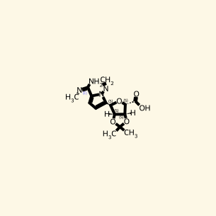 C=Nn1c(/C(N)=N\C)ccc1[C@@H]1O[C@H](C(=O)O)[C@H]2OC(C)(C)O[C@H]21